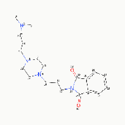 CN(C)CCCN1CCN(CCCN2C(=O)c3ccccc3C2=O)CC1